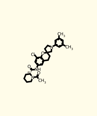 CC(=O)N1CCCC[C@@H]1C(=O)Nc1cc(Cl)c2c(c1)CCC1(CCN(c3cc(C)cc(C)c3)C1)O2